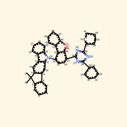 CC1(C)c2ccccc2-c2cc3c(cc21)c1ccccc1n3-c1ccc(-c2nc(-c3ccccc3)nc(-c3ccccc3)n2)c2oc3ccccc3c12